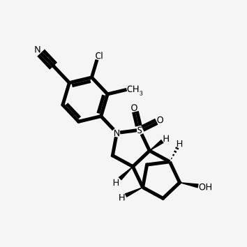 Cc1c(N2C[C@H]3[C@@H]4C[C@@H]([C@H]3S2(=O)=O)[C@@H](O)C4)ccc(C#N)c1Cl